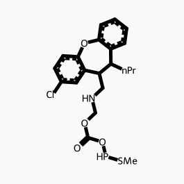 CCCC1c2ccccc2Oc2ccc(Cl)cc2C1CNCOC(=O)OPSC